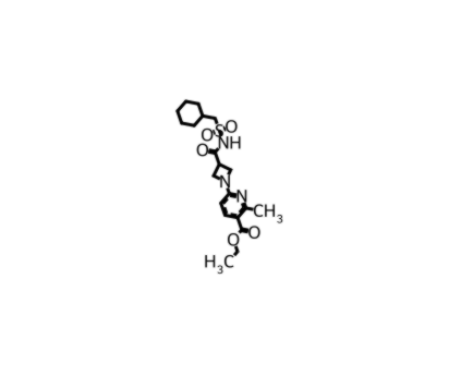 CCOC(=O)c1ccc(N2CC(C(=O)NS(=O)(=O)CC3CCCCC3)C2)nc1C